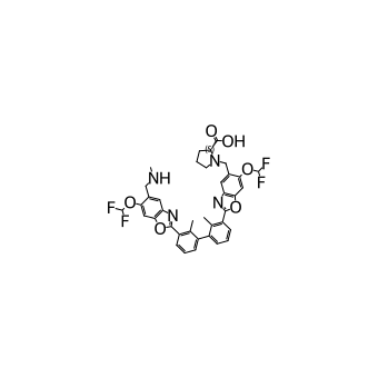 CNCc1cc2nc(-c3cccc(-c4cccc(-c5nc6cc(CN7CCC[C@H]7C(=O)O)c(OC(F)F)cc6o5)c4C)c3C)oc2cc1OC(F)F